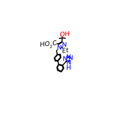 CCc1nc(C(C)(C)O)c(C(=O)O)n1Cc1ccc(-c2ccccc2-c2nnn[nH]2)cc1